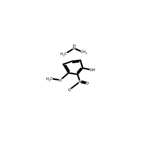 CNC.COc1cccc(O)c1[N+](=O)[O-]